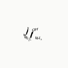 N.N#[C][K].O=C(O)O